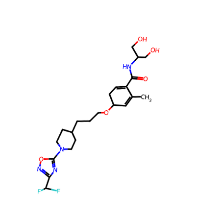 CC1=CC(OCCCC2CCN(c3nc(C(F)F)no3)CC2)CC=C1C(=O)NC(CO)CO